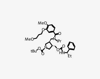 CC[C@H](NC(=O)OC[C@@H]1CN(C(=O)OC(C)(C)C)C[C@H]1CN(C(=O)c1ccc(OC)c(OCCCOC)c1)C(C)C)c1ccccc1